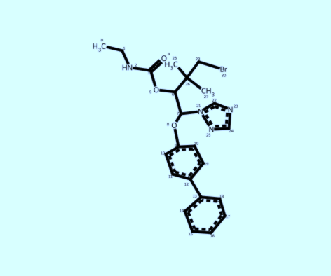 CCNC(=O)OC(C(Oc1ccc(-c2ccccc2)cc1)n1cncn1)C(C)(C)CBr